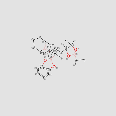 CC(C)B1OC(C)(C)C(C)(CCC(C)B2C3CCCC2CC(C(C)(C)B2Oc4ccccc4O2)C3)O1